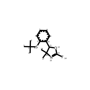 CC(C)(C)Sc1ccccc1C1OC(F)=NC1(C)C